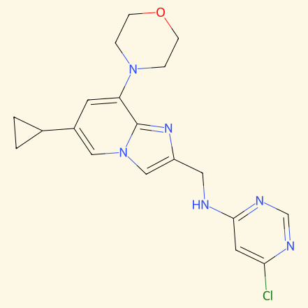 Clc1cc(NCc2cn3cc(C4CC4)cc(N4CCOCC4)c3n2)ncn1